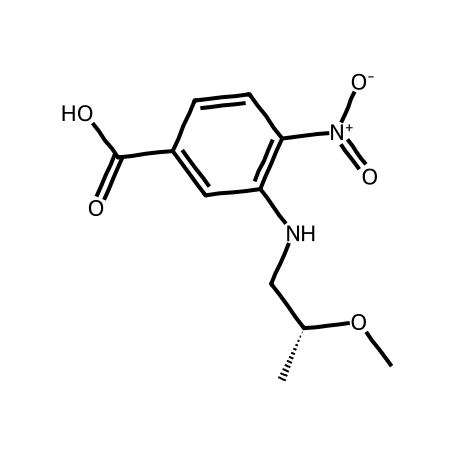 CO[C@H](C)CNc1cc(C(=O)O)ccc1[N+](=O)[O-]